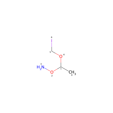 CC(ON)OCI